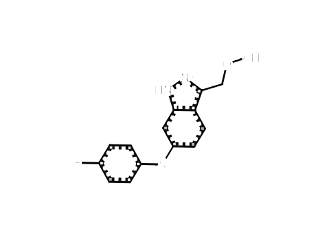 COCc1n[nH]c2cc(Sc3ccc(F)cc3)ccc12